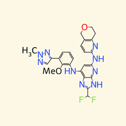 COc1c(Nc2cc(Nc3ccc4c(n3)CCOC4)nc3[nH]c(C(F)F)nc23)cccc1-c1cnn(C)n1